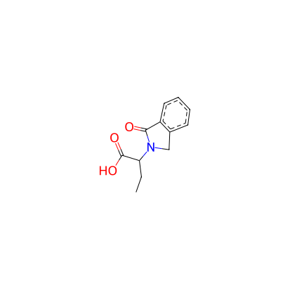 CCC(C(=O)O)N1Cc2ccccc2C1=O